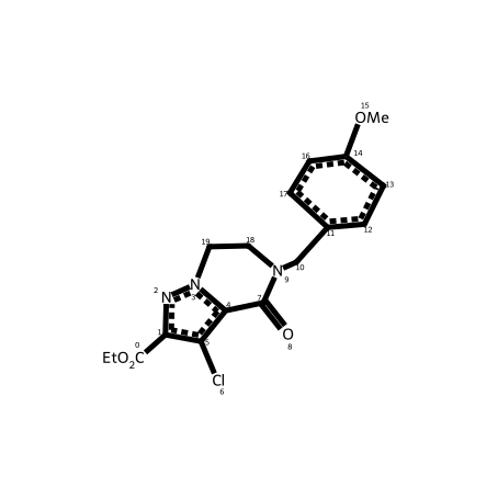 CCOC(=O)c1nn2c(c1Cl)C(=O)N(Cc1ccc(OC)cc1)CC2